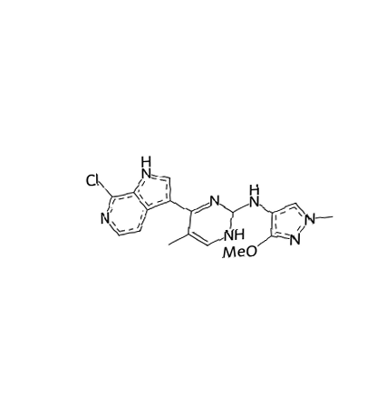 COc1nn(C)cc1NC1N=C(c2c[nH]c3c(Cl)nccc23)C(C)=CN1